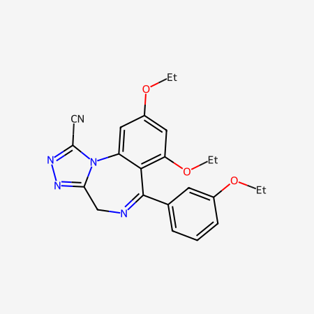 CCOc1cccc(C2=NCc3nnc(C#N)n3-c3cc(OCC)cc(OCC)c32)c1